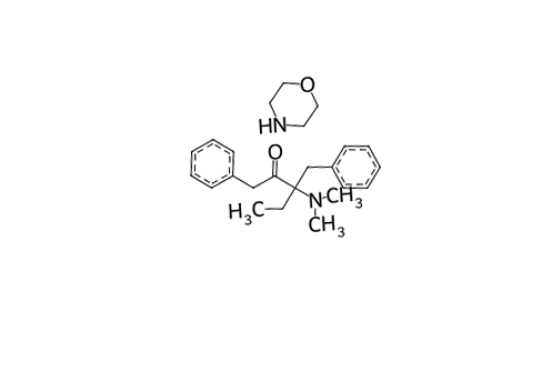 C1COCCN1.CCC(Cc1ccccc1)(C(=O)Cc1ccccc1)N(C)C